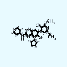 COc1cc(-c2cc3nnc(Nc4ccncc4)nc3n(C3CCCC3)c2=O)c(Cl)c(OC)n1